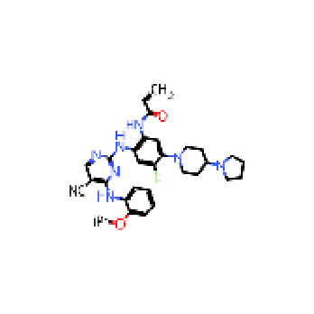 C=CC(=O)Nc1cc(N2CCC(N3CCCC3)CC2)c(F)cc1Nc1ncc(C#N)c(Nc2ccccc2OC(C)C)n1